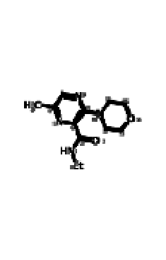 CCNC(=O)c1nc(C)cnc1N1CCOCC1